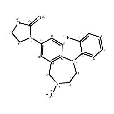 CN1CCN(c2ccccc2F)c2ccc(N3CCOC3=O)cc2C1